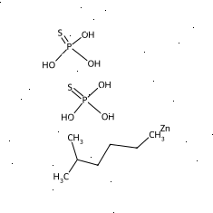 CCCCC(C)C.OP(O)(O)=S.OP(O)(O)=S.[Zn]